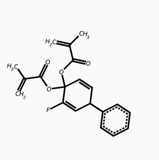 C=C(C)C(=O)OC1(OC(=O)C(=C)C)C=CC(c2ccccc2)C=C1F